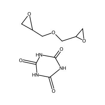 C(OCC1CO1)C1CO1.O=c1[nH]c(=O)[nH]c(=O)[nH]1